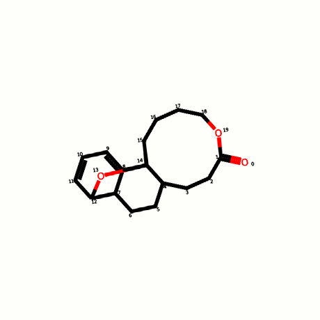 O=C1CCC2CCC3C4=CC=CC3OC42CCCCO1